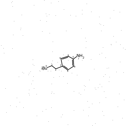 CCC(C)CCc1ccc(N)cc1